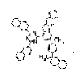 CC1(C2=CCC(C)(c3cc(-c4nc(-c5ccc6ccccc6c5)nc(-c5ccc6ccccc6c5)n4)c4c(c3)-c3cc5ccccc5cc3C4)C=C2)C=c2ccccc2=CC1